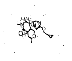 C[C@H]1C[C@H]2C(=O)N(C)C(=N)N[C@@]2(c2cc(OCC3CC3)ncc2F)CO1